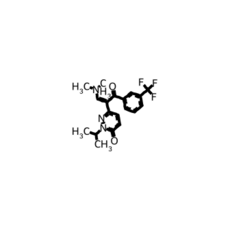 CC(C)n1nc(/C(=C/N(C)C)C(=O)c2cccc(C(F)(F)F)c2)ccc1=O